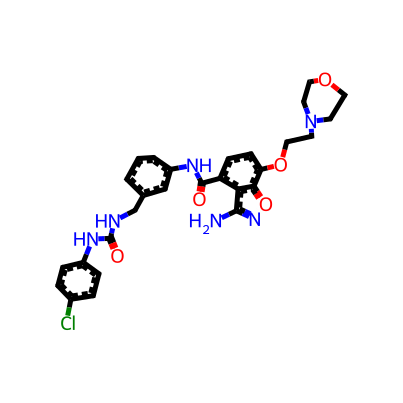 Nc1noc2c(OCCN3CCOCC3)ccc(C(=O)Nc3cccc(CNC(=O)Nc4ccc(Cl)cc4)c3)c12